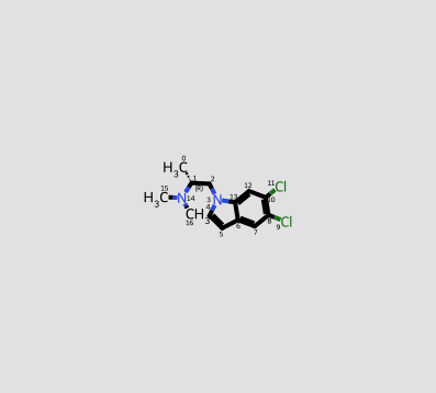 C[C@H](Cn1ccc2cc(Cl)c(Cl)cc21)N(C)C